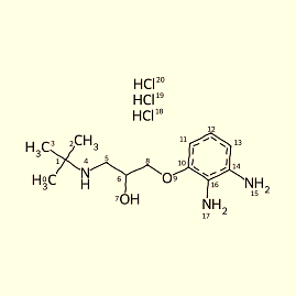 CC(C)(C)NCC(O)COc1cccc(N)c1N.Cl.Cl.Cl